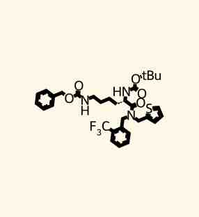 CC(C)(C)OC(=O)N[C@@H](CCCCNC(=O)OCc1ccccc1)C(=O)N(Cc1cccs1)Cc1ccccc1C(F)(F)F